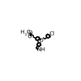 COC(=O)CCc1ccc(OCCc2ccc(Cl)cc2)c(-c2ccc3[nH]ccc3c2)c1